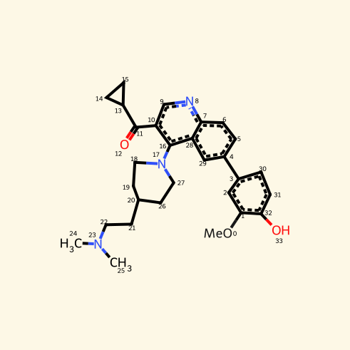 COc1cc(-c2ccc3ncc(C(=O)C4CC4)c(N4CCC(CCN(C)C)CC4)c3c2)ccc1O